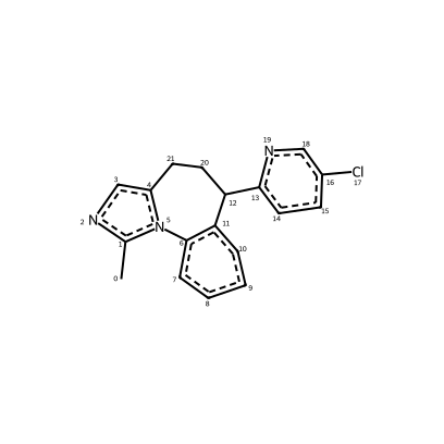 Cc1ncc2n1-c1ccccc1C(c1ccc(Cl)cn1)CC2